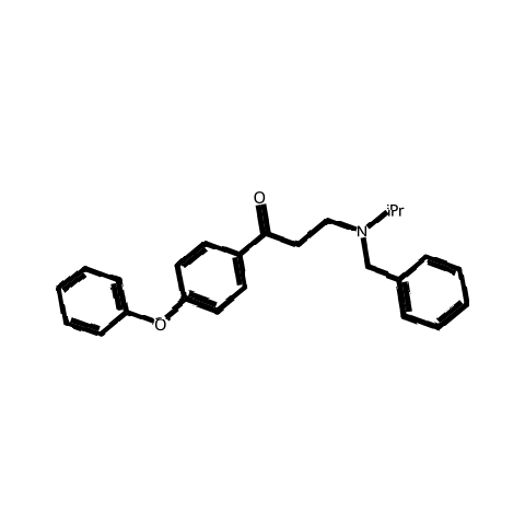 CC(C)N(CCC(=O)c1ccc(Oc2ccccc2)cc1)Cc1ccccc1